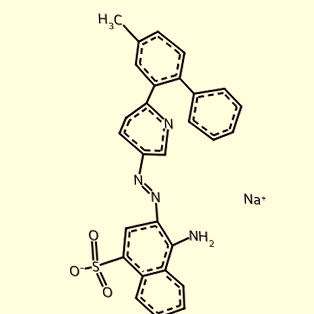 Cc1ccc(-c2ccccc2)c(-c2ccc(N=Nc3cc(S(=O)(=O)[O-])c4ccccc4c3N)cn2)c1.[Na+]